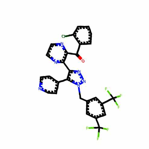 O=C(c1ccccc1Cl)c1nccnc1-c1nnn(Cc2cc(C(F)(F)F)cc(C(F)(F)F)c2)c1-c1ccncc1